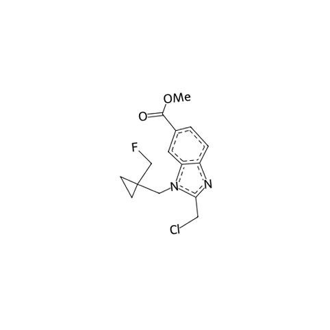 COC(=O)c1ccc2nc(CCl)n(CC3(CF)CC3)c2c1